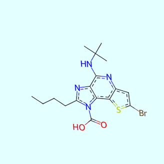 CCCCc1nc2c(NC(C)(C)C)nc3cc(Br)sc3c2n1C(=O)O